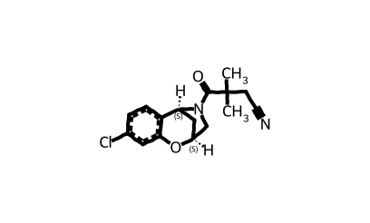 CC(C)(CC#N)C(=O)N1C[C@@H]2C[C@H]1c1ccc(Cl)cc1O2